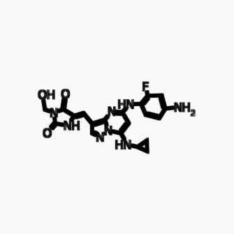 Nc1ccc(Nc2cc(NC3CC3)n3ncc(/C=C4\NC(=O)N(CO)C4=O)c3n2)c(F)c1